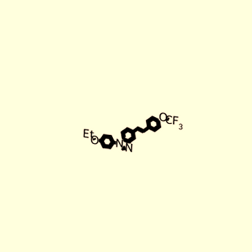 CCOc1ccc(-n2cnc3cc(C=Cc4ccc(OC(F)(F)F)cc4)ccc32)cc1